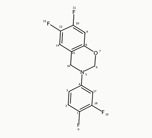 Fc1ccc(N2COc3cc(F)c(F)cc3C2)cc1F